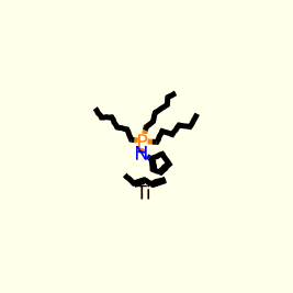 C=CC=CC.CCCCCCP(CCCCCC)(CCCCCC)=NC1=CC=CC1.[Ti]